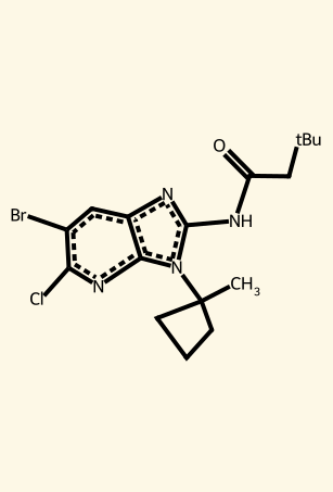 CC(C)(C)CC(=O)Nc1nc2cc(Br)c(Cl)nc2n1C1(C)CCC1